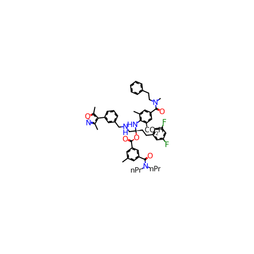 CCCN(CCC)C(=O)c1cc(C)cc(C(=O)O[C@](CCc2cc(F)cc(F)c2)(CNCc2cccc(-c3c(C)noc3C)c2)Nc2c(C)cc(C(=O)N(C)CCc3ccccc3)cc2C(=O)O)c1